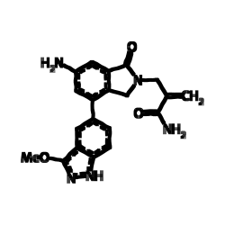 C=C(CN1Cc2c(cc(N)cc2-c2ccc3[nH]nc(OC)c3c2)C1=O)C(N)=O